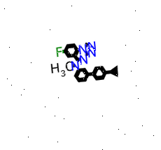 CN(c1cccc(-c2ccc(C3CC3)cc2)c1)c1nc2nncn2c2ccc(F)cc12